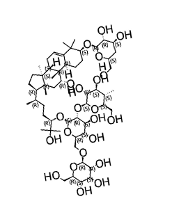 C[C@H]1[C@H](O)[C@@H](O)[C@H](O[C@H]2[C@H](O[C@H](CC[C@@H](C)[C@H]3CC[C@@]4(C)[C@@H]5CC=C6[C@@H](CC[C@H](O[C@@H]7O[C@H](CO)C[C@H](O)[C@H]7O)C6(C)C)[C@]5(C)[C@H](O)C[C@]34C)C(C)(C)O)O[C@H](CO[C@@H]3O[C@H](CO)[C@@H](O)[C@H](O)[C@H]3O)[C@@H](O)[C@@H]2O)O[C@@H]1CO